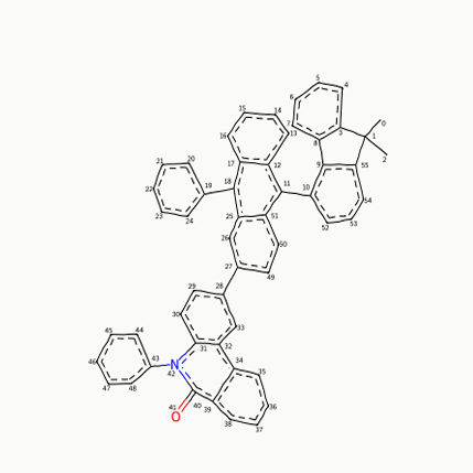 CC1(C)c2ccccc2-c2c(-c3c4ccccc4c(-c4ccccc4)c4cc(-c5ccc6c(c5)c5ccccc5c(=O)n6-c5ccccc5)ccc34)cccc21